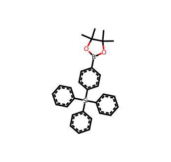 CC1(C)OB(c2ccc([Si](c3ccccc3)(c3ccccc3)c3ccccc3)cc2)OC1(C)C